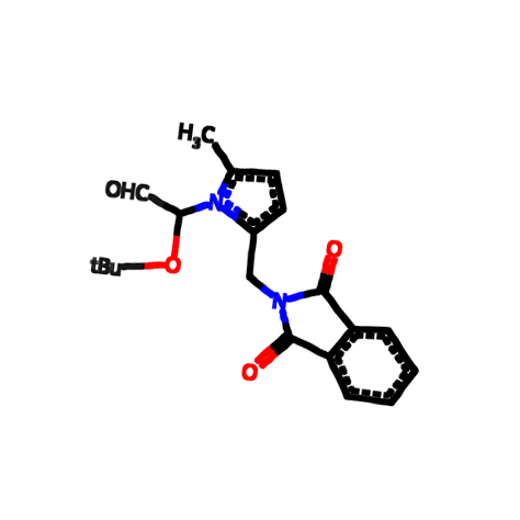 Cc1ccc(CN2C(=O)c3ccccc3C2=O)n1C(C=O)OC(C)(C)C